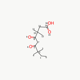 CCC(C)(C)C(=O)CC(=O)C(C)(C)CC(=O)O